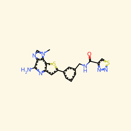 Cn1cnc2c(N)nc3cc(-c4cccc(CNC(=O)c5csnn5)c4)sc3c21